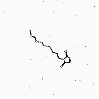 COCOCCCCCCN1C(=O)C=CC1=O